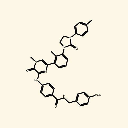 COc1ccc(CNC(=O)c2ccc(Nc3nc(-c4cccc(N5CCN(c6ccc(C)cc6)C5=O)c4C)cn(C)c3=O)cc2)cc1